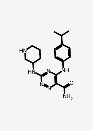 CC(C)c1ccc(Nc2nc(NC3CCCNC3)nnc2C(N)=O)cc1